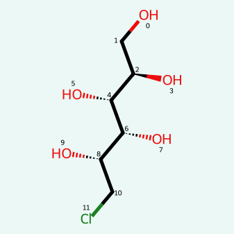 OC[C@@H](O)[C@@H](O)[C@H](O)[C@@H](O)CCl